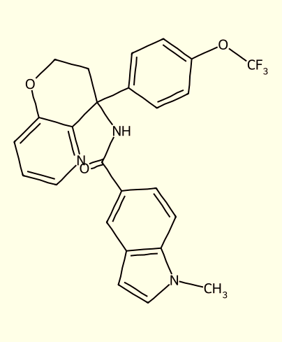 Cn1ccc2cc(C(=O)NC3(c4ccc(OC(F)(F)F)cc4)CCOc4cccnc43)ccc21